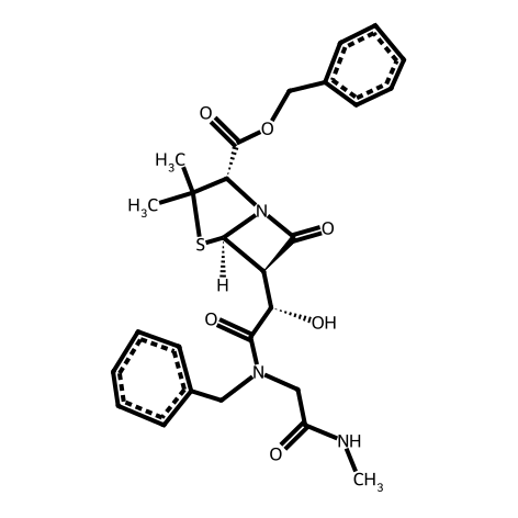 CNC(=O)CN(Cc1ccccc1)C(=O)[C@@H](O)[C@@H]1C(=O)N2[C@@H]1SC(C)(C)[C@@H]2C(=O)OCc1ccccc1